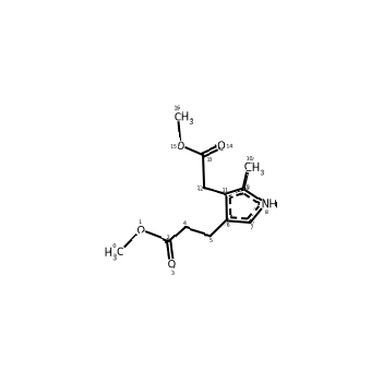 COC(=O)CCc1[c][nH]c(C)c1CC(=O)OC